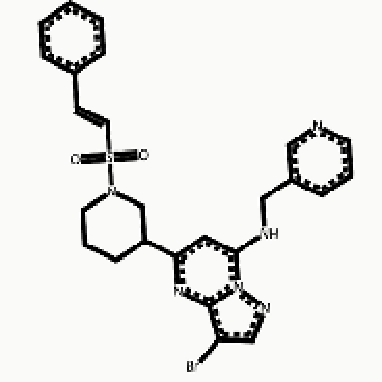 O=S(=O)(/C=C/c1ccccc1)N1CCCC(c2cc(NCc3cccnc3)n3ncc(Br)c3n2)C1